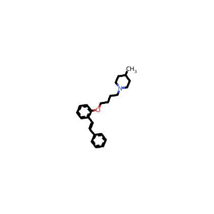 CC1CCN(CCCCOc2ccccc2C=Cc2ccccc2)CC1